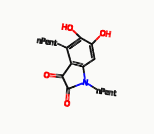 CCCCCc1c(O)c(O)cc2c1C(=O)C(=O)N2CCCCC